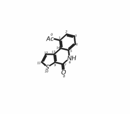 CC(=O)c1cccc2[nH]c(=O)c3sccc3c12